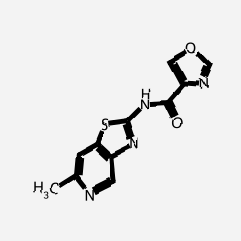 Cc1cc2sc(NC(=O)c3cocn3)nc2cn1